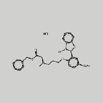 COc1ccc(OCCCN(C)CC(=O)OCc2ccccc2)c(C2Sc3ccccc3N2C(C)=O)c1.Cl